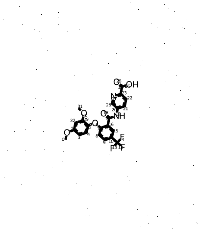 COc1ccc(Oc2ccc(C(F)(F)F)cc2C(=O)Nc2ccc(C(=O)O)nc2)c(OC)c1